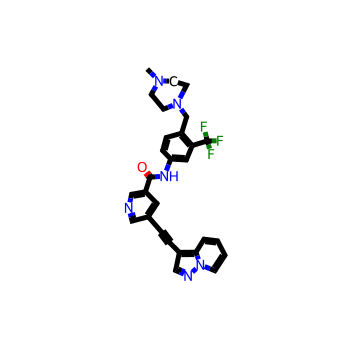 CN1CCN(Cc2ccc(NC(=O)c3cncc(C#Cc4cnn5ccccc45)c3)cc2C(F)(F)F)CC1